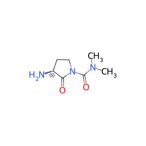 CN(C)C(=O)N1CC[C@H](N)C1=O